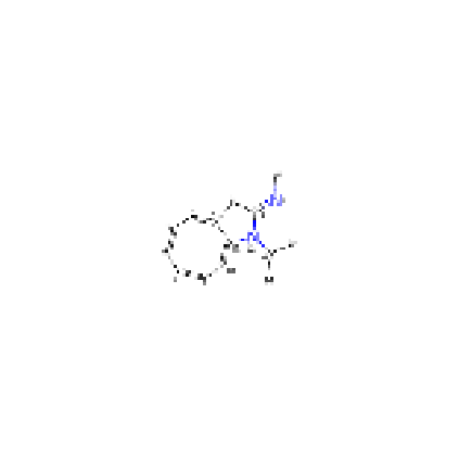 C/N=C1\CC2=C/C=C\C=C/C=C\2N1C(C)C